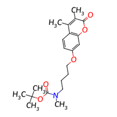 Cc1c(C)c2ccc(OCCCCN(C)C(=O)OC(C)(C)C)cc2oc1=O